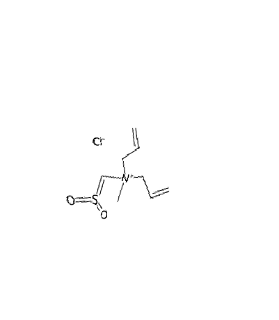 C=CC[N+](C)(C=S(=O)=O)CC=C.[Cl-]